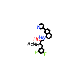 CC(=O)NC(Cc1cc(F)cc(F)c1)C(O)CNC1CCCc2ccc(-c3cccnc3)cc21